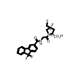 O=C(NCC(=O)N1C[C@@](F)(CF)C[C@H]1C(=O)O)c1ccc2c(c1)-c1ccccc1C2(F)F